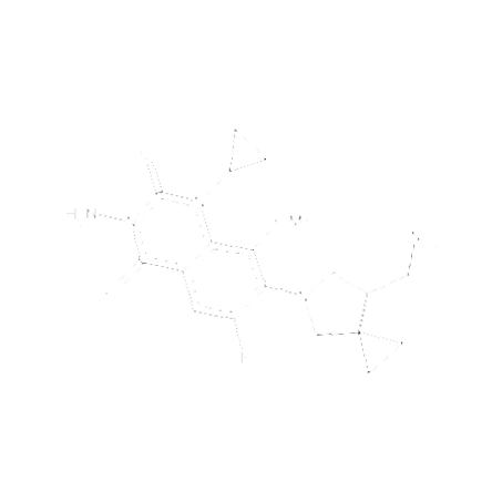 COc1c(N2CC(CN)C3(CC3)C2)c(F)cc2c(=O)n(N)c(=O)n(C3CC3)c12